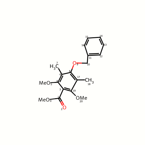 COC(=O)c1c(OC)c(C)c(OCc2ccccc2)c(C)c1OC